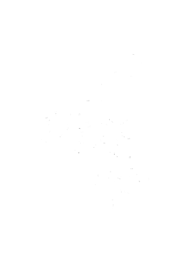 C=CC(=O)N1[C@H](C)CN(c2nc(=O)n3c4c(c(-c5ccc(F)c(Cl)c5)c(Cl)cc24)SCC(OCCOC)C3)C[C@@H]1C